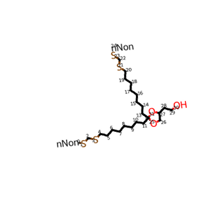 CCCCCCCCCSCSCCCCCCCCC1(CCCCCCCCSCSCCCCCCCCC)OCC(CCO)O1